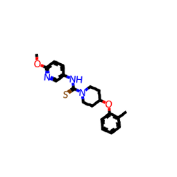 COc1ccc(NC(=S)N2CCC(Oc3ccccc3C)CC2)cn1